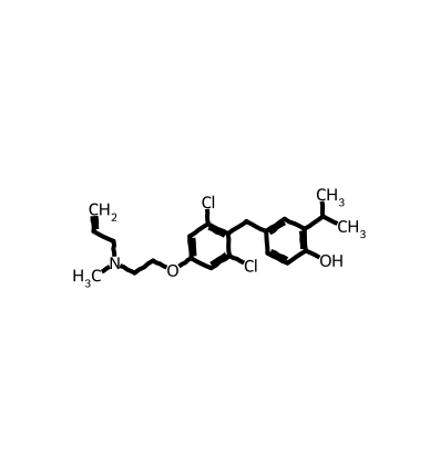 C=CCN(C)CCOc1cc(Cl)c(Cc2ccc(O)c(C(C)C)c2)c(Cl)c1